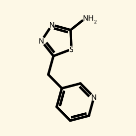 Nc1nnc(Cc2cccnc2)s1